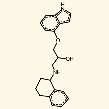 OC(CNC1CCCc2ccccc21)COc1cccc2[nH]ccc12